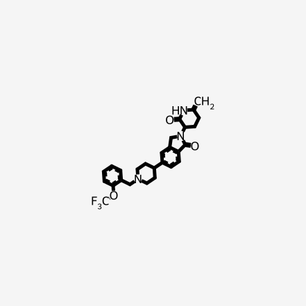 C=C1CCC(N2Cc3cc(C4CCN(Cc5ccccc5OC(F)(F)F)CC4)ccc3C2=O)C(=O)N1